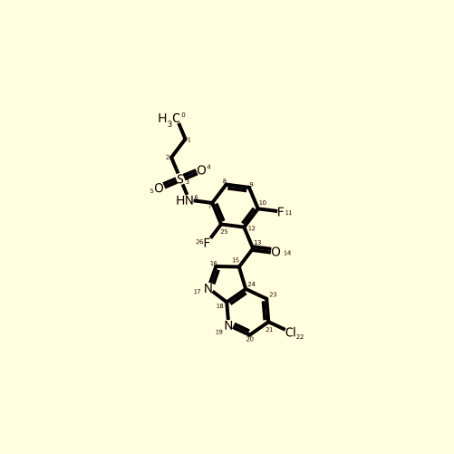 CCCS(=O)(=O)Nc1ccc(F)c(C(=O)C2C=Nc3ncc(Cl)cc32)c1F